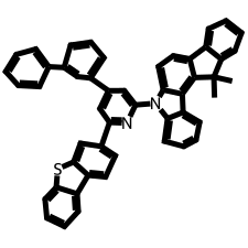 CC1(C)c2ccccc2-c2ccc3c(c21)c1ccccc1n3-c1cc(-c2cccc(-c3ccccc3)c2)cc(-c2ccc3c(c2)sc2ccccc23)n1